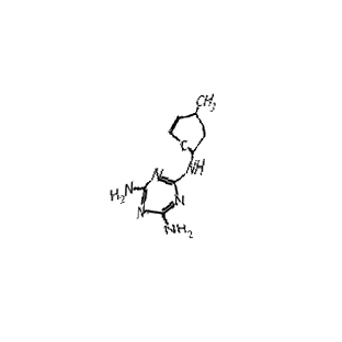 CC1CCCC(Nc2nc(N)nc(N)n2)CC1